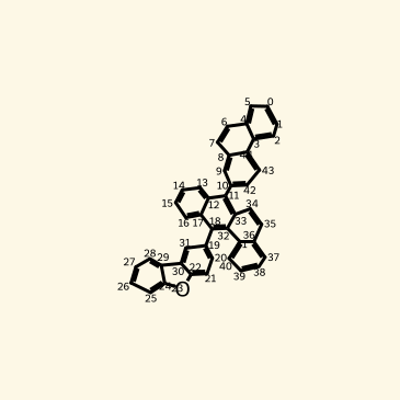 c1ccc2c(c1)ccc1cc(-c3c4ccccc4c(-c4ccc5oc6ccccc6c5c4)c4c3ccc3ccccc34)ccc12